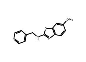 COc1ccc2nc(NCc3ccncc3)oc2c1